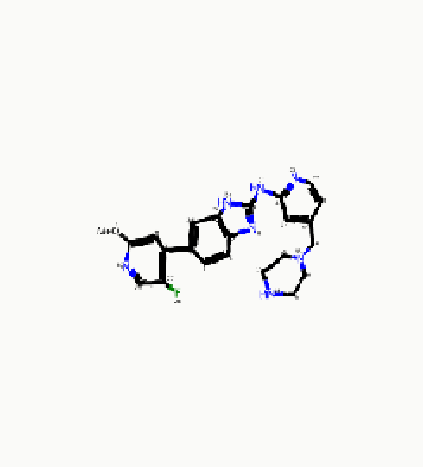 COc1cc(-c2ccc3nc(Nc4cc(CN5CCNCC5)ccn4)[nH]c3c2)c(F)cn1